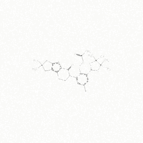 CC(=O)OCc1c(B2OC(C)(C)C(C)(C)O2)cc(F)cc1N1CCc2c(sc3c2CC(C)(C)C3)C1=O